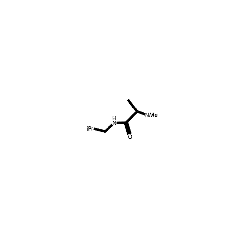 CNC(C)C(=O)NCC(C)C